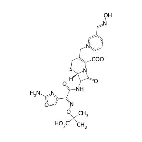 CC(C)(ON=C(C(=O)NC1C(=O)N2C(C(=O)[O-])=C(C[n+]3cccc(C=NO)c3)CS[C@@H]12)c1coc(N)n1)C(=O)O